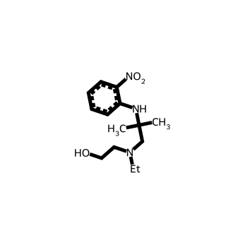 CCN(CCO)CC(C)(C)Nc1ccccc1[N+](=O)[O-]